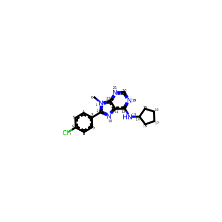 Cn1c(-c2ccc(Cl)cc2)nc2c(NC3CCCC3)ncnc21